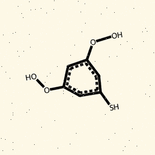 OOc1cc(S)cc(OO)c1